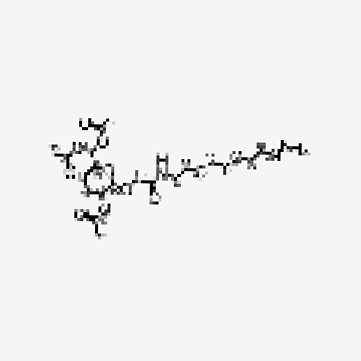 CC(=O)OC[C@H]1O[C@@H](OCC(=O)NCCOCCOCCN=NI)[C@H](OC(C)=O)C[C@@H]1OC(C)=O